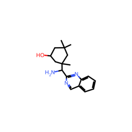 CC1(C)CC(O)CC(C)(C(N)c2ncc3ccccc3n2)C1